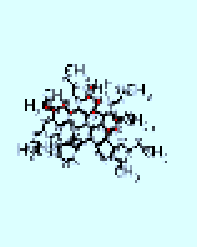 CCCCc1c(CC)ccc(-c2c(-c3ccc(CC)c(CCCC)c3CCCC)c(-c3ccc(CC)c(CCCC)c3CCCC)c3c(c2-c2ccc(CC)c(CCCC)c2CCCC)=c2ccccc2=3)c1CCCC